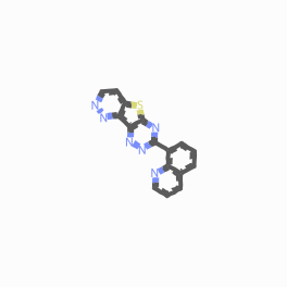 c1cnc2c(-c3nnc4c(n3)sc3ccnnc34)cccc2c1